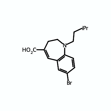 CC(C)CCN1CCC(C(=O)O)=Cc2cc(Br)ccc21